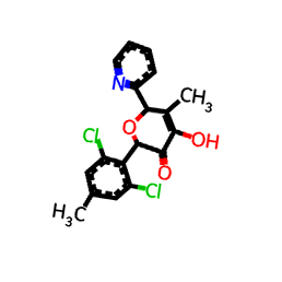 CC1=C(O)C(=O)C(c2c(Cl)cc(C)cc2Cl)OC1c1ccccn1